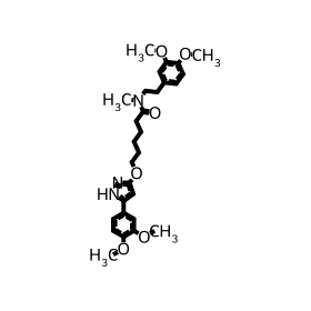 COc1ccc(CCN(C)C(=O)CCCCCOc2cc(-c3ccc(OC)c(OC)c3)[nH]n2)cc1OC